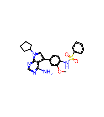 COc1cc(-c2cn(C3CCCC3)c3ncnc(N)c23)ccc1NS(=O)(=O)c1ccccc1